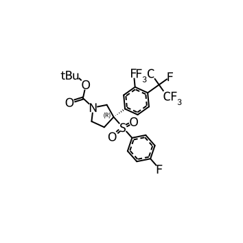 CC(C)(C)OC(=O)N1CC[C@](c2ccc(C(F)(C(F)(F)F)C(F)(F)F)c(F)c2)(S(=O)(=O)c2ccc(F)cc2)C1